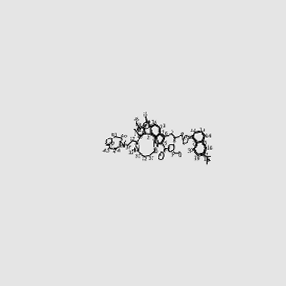 CCOC(=O)c1c(CCCOc2cccc3cc(F)ccc23)c2ccc(Cl)c3c2n1CCCCN(C)C(CCN1CCOCC1)c1nn(C)c(CC)c1-3